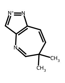 CC1(C)C=CC2=C(C=[N+]=N2)N=C1